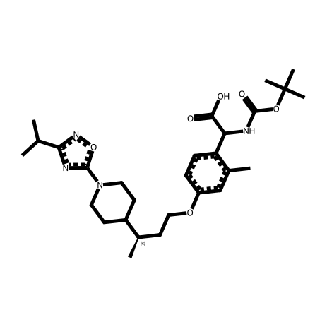 Cc1cc(OCC[C@@H](C)C2CCN(c3nc(C(C)C)no3)CC2)ccc1C(NC(=O)OC(C)(C)C)C(=O)O